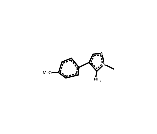 COc1ccc(-c2cnn(C)c2N)cc1